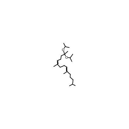 CC(=CCCC(C)(OC(C)C)OC(C)C)CCC=C(C)CCCC(C)C